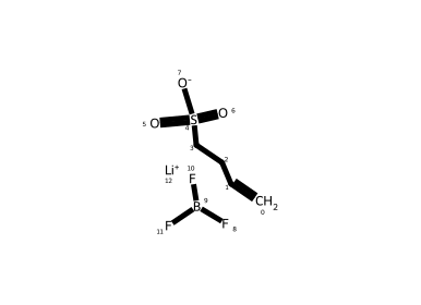 C=CCCS(=O)(=O)[O-].FB(F)F.[Li+]